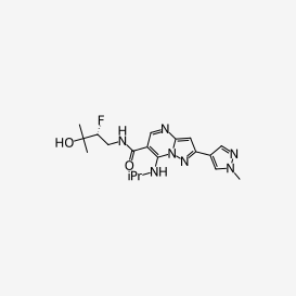 CC(C)Nc1c(C(=O)NC[C@@H](F)C(C)(C)O)cnc2cc(-c3cnn(C)c3)nn12